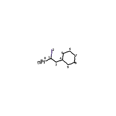 CCCC(I)CC1CCCCC1